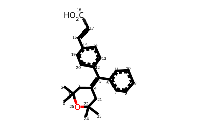 CC1(C)CC(=C(c2ccccc2)c2ccc(C=CC(=O)O)cc2)CC(C)(C)O1